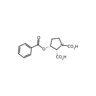 O=C(O[C@@H]1CCN(C(=O)O)[C@@H]1C(=O)O)c1ccccc1